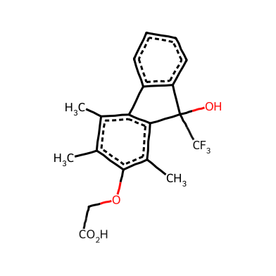 Cc1c(C)c2c(c(C)c1OCC(=O)O)C(O)(C(F)(F)F)c1ccccc1-2